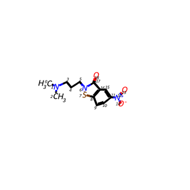 CN(C)CCCn1sc2ccc([N+](=O)[O-])cc2c1=O